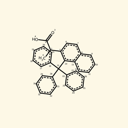 CC(C(=O)O)c1ccc2ccccc2c1C(c1ccccc1)(c1ccccc1)c1ccccc1